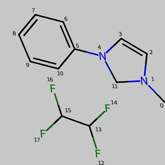 CN1C=CN(c2ccccc2)C1.FC(F)C(F)F